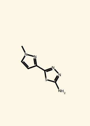 Cn1ccc(-c2nnc(N)s2)n1